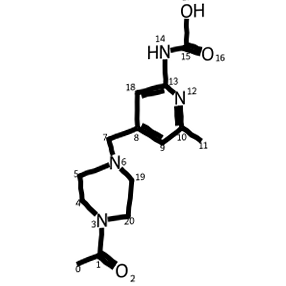 CC(=O)N1CCN(Cc2cc(C)nc(NC(=O)O)c2)CC1